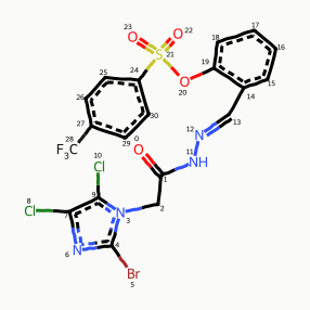 O=C(Cn1c(Br)nc(Cl)c1Cl)NN=Cc1ccccc1OS(=O)(=O)c1ccc(C(F)(F)F)cc1